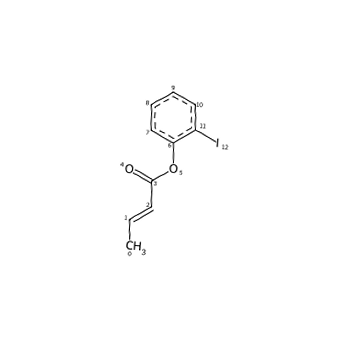 C/C=C/C(=O)Oc1ccccc1I